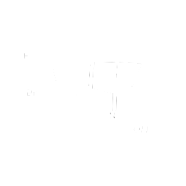 ON=C1c2cc(Br)c(F)cc2C2CC1C2